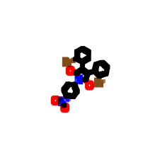 O=C1C(c2ccccc2Br)=C(c2ccccc2Br)C(=O)N1c1ccc([N+](=O)[O-])cc1